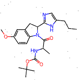 CCCc1cnc(C2Cc3cc(OC)ccc3N2C(=O)C(C)NC(=O)OC(C)(C)C)[nH]1